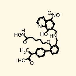 C=C(C(=O)O)c1ccc(-c2cccc(CNCc3cc([N+](=O)[O-])c4cccnc4c3O)c2OCCCCC(=O)NO)cc1